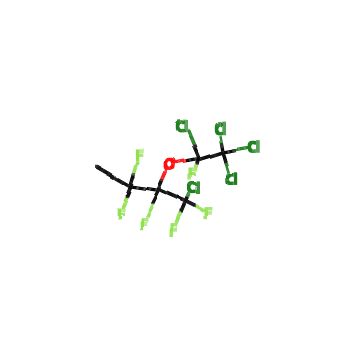 CC(F)(F)C(F)(OC(F)(Cl)C(Cl)(Cl)Cl)C(F)(F)Cl